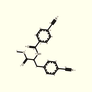 COC(=O)C(Cc1ccc(C#N)cc1)NC(=O)c1ccc(C#N)cc1